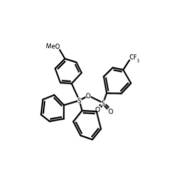 COc1ccc(S(OS(=O)(=O)c2ccc(C(F)(F)F)cc2)(c2ccccc2)c2ccccc2)cc1